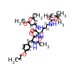 C=CCOc1ccc(C[C@H](NC(C)=O)C(=O)N[C@@H](CCCCNC(=O)OC(C)(C)C)C(=O)N[C@@H](CC=C)CC(=O)OC)cc1